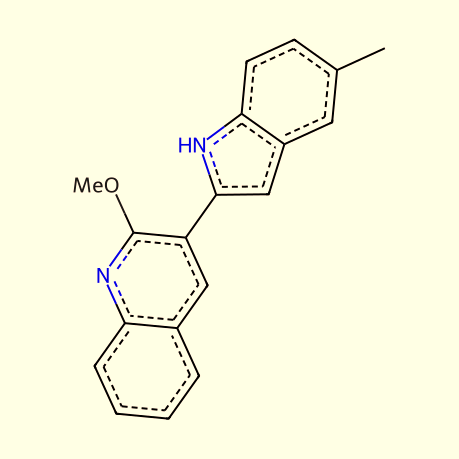 COc1nc2ccccc2cc1-c1cc2cc(C)ccc2[nH]1